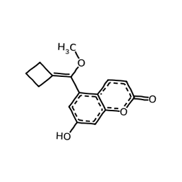 COC(=C1CCC1)c1cc(O)cc2oc(=O)ccc12